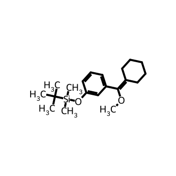 COC(=C1CCCCC1)c1cccc(O[Si](C)(C)C(C)(C)C)c1